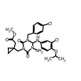 COC(=O)CC1(CN2C(=O)N(N)C(Nc3ccc(OC(C)C)c(Cl)c3)N(Cc3ccc(Cl)cc3)C2=O)CC1